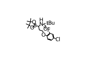 CC(C)(C)[S@@+]([O-])NC(CCOc1ccc(Cl)cc1F)B1OC(C)(C)C(C)(C)O1